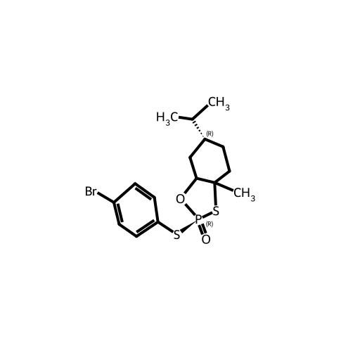 CC(C)[C@@H]1CCC2(C)S[P@@](=O)(Sc3ccc(Br)cc3)OC2C1